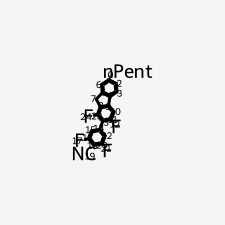 CCCCCc1ccc2c(c1)Cc1c-2cc(F)c(-c2cc(F)c(C#N)c(F)c2)c1F